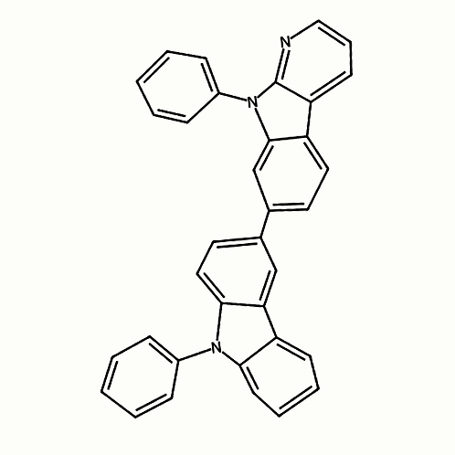 c1ccc(-n2c3ccccc3c3cc(-c4ccc5c6cccnc6n(-c6ccccc6)c5c4)ccc32)cc1